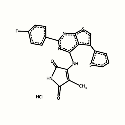 CC1=C(Nc2nc(-c3ccc(F)cc3)nc3scc(-c4cccs4)c23)C(=O)NC1=O.Cl